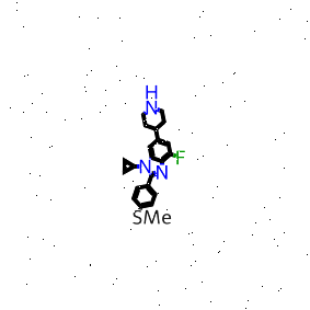 CSc1ccc(-c2nc3c(F)cc(C4CCNCC4)cc3n2C2CC2)cc1